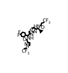 O=C(CCC(F)(F)F)N[C@H](c1ccn2cc([C@@H](NC(=O)c3ccn(CCC(F)(F)F)n3)C3CCC(F)(F)CC3)nc2n1)C1CC1